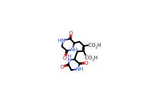 O=C1CNC(=O)C(CC(C(=O)O)=C(CC2NC(=O)CNC2=O)C(=O)O)N1